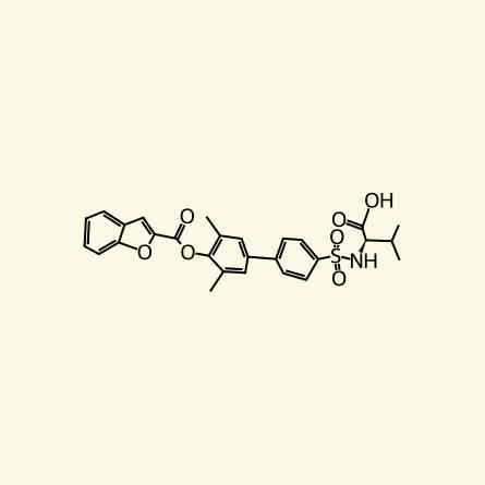 Cc1cc(-c2ccc(S(=O)(=O)N[C@@H](C(=O)O)C(C)C)cc2)cc(C)c1OC(=O)c1cc2ccccc2o1